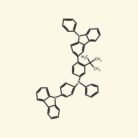 CC(C)(C)c1cc(N(c2ccccc2)c2ccc(-n3c4ccccc4c4ccccc43)cc2)ccc1-c1ccc2c(c1)c1ccccc1n2-c1ccccc1